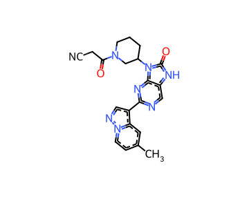 Cc1ccn2ncc(-c3ncc4[nH]c(=O)n(C5CCCN(C(=O)CC#N)C5)c4n3)c2c1